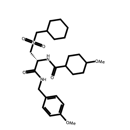 COc1ccc(CNC(=O)[C@H](CS(=O)(=O)CC2CCCCC2)NC(=O)C2CCC(OC)CC2)cc1